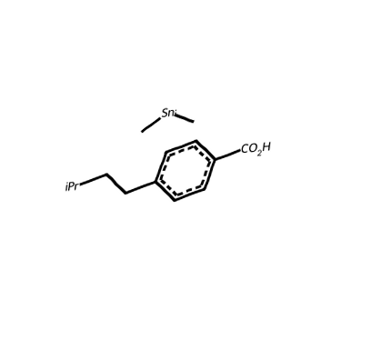 CC(C)CCc1ccc(C(=O)O)cc1.[CH3][Sn][CH3]